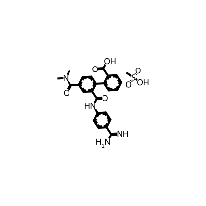 CN(C)C(=O)c1ccc(-c2ccccc2C(=O)O)c(C(=O)Nc2ccc(C(=N)N)cc2)c1.CS(=O)(=O)O